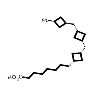 CC[C@H]1C[C@@H](C[C@H]2C[C@@H](C[C@H]3C[C@@H](CCCCCCCC(=O)O)C3)C2)C1